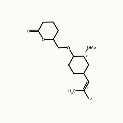 CO[C@@H]1CC(/C=C(\C)C(C)C)CCC1OCC1CCCC(=O)O1